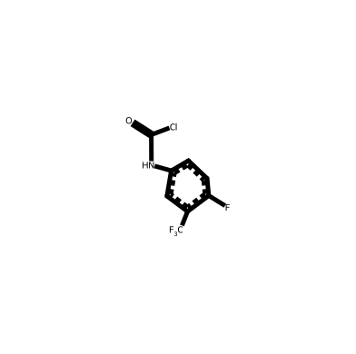 O=C(Cl)Nc1ccc(F)c(C(F)(F)F)c1